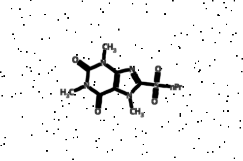 CCCS(=O)(=O)c1nc2c(c(=O)n(C)c(=O)n2C)n1C